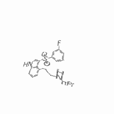 CCCNCCc1cccc2[nH]cc(S(=O)(=O)c3cccc(F)c3)c12